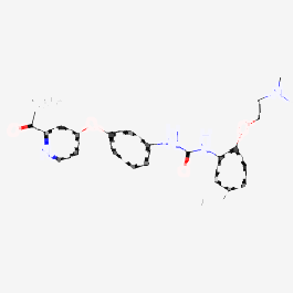 CNC(=O)c1cc(Oc2cccc(NC(=O)Nc3cc(C(F)(F)F)ccc3OCCN(C)C)c2)ccn1